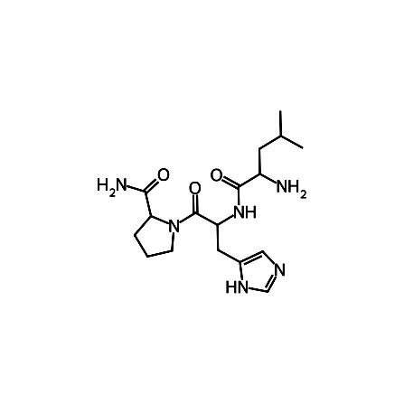 CC(C)CC(N)C(=O)NC(Cc1cnc[nH]1)C(=O)N1CCCC1C(N)=O